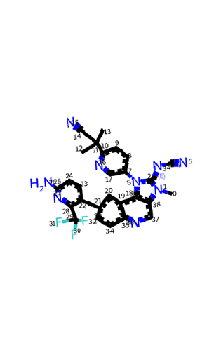 Cn1/c(=N\C#N)n(-c2ccc(C(C)(C)C#N)nc2)c2c3cc(-c4ccc(N)nc4C(F)(F)F)ccc3ncc21